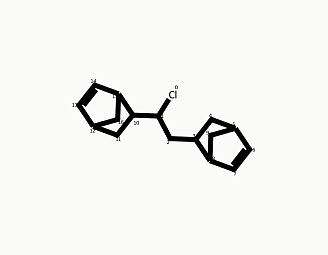 ClC(CC1CC2C=CC1C2)C1CC2C=CC1C2